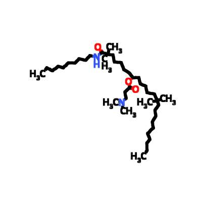 CCCCCCCCCCNC(=O)C(C)(C)CCCCCC(CCCCCC(C)(C)CCCCCCCCCC)OC(=O)CCN(C)C